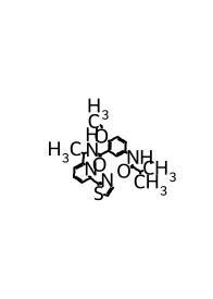 CCOc1ccc(NC(=O)C(C)C)cc1C(=O)NC(C)c1cccc(-c2nccs2)n1